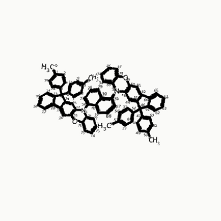 Cc1ccc(C2(c3ccc(C)cc3)c3ccccc3-c3cc4c(cc32)N(c2cccc3c(N5c6ccccc6Oc6cc7c(cc65)C(c5ccc(C)cc5)(c5ccc(C)cc5)c5ccccc5-7)cccc23)c2ccccc2O4)cc1